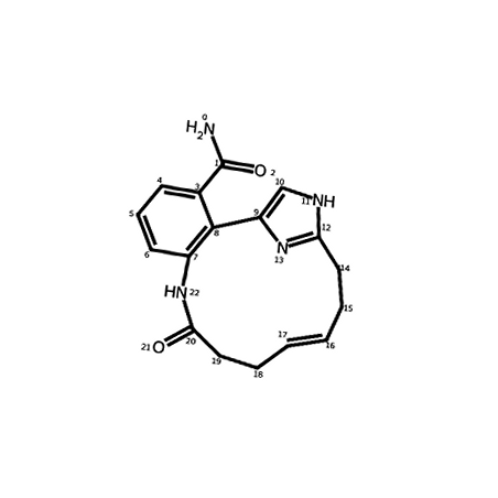 NC(=O)c1cccc2c1-c1c[nH]c(n1)[CH]C/C=C/CCC(=O)N2